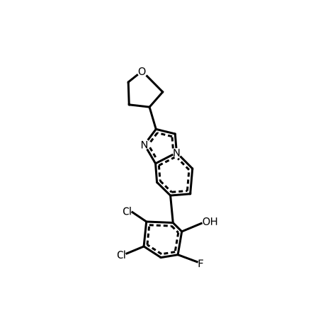 Oc1c(F)cc(Cl)c(Cl)c1-c1ccn2cc(C3CCOC3)nc2c1